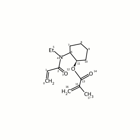 C=CC(=O)N(CC)C1CCCC[C@H]1OC(=O)C(=C)C